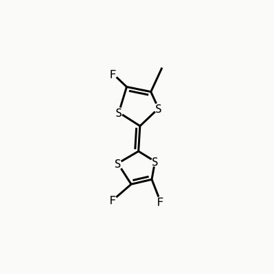 CC1=C(F)SC(=C2SC(F)=C(F)S2)S1